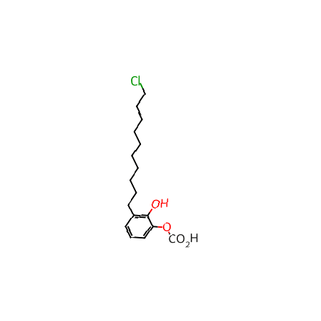 O=C(O)Oc1cccc(CCCCCCCCCCCl)c1O